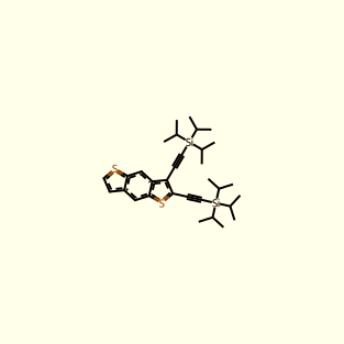 CC(C)[Si](C#Cc1sc2cc3ccsc3cc2c1C#C[Si](C(C)C)(C(C)C)C(C)C)(C(C)C)C(C)C